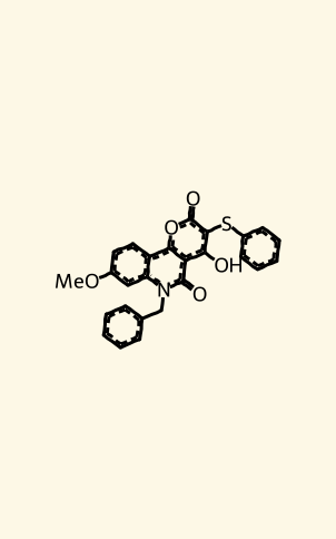 COc1ccc2c3oc(=O)c(Sc4ccccc4)c(O)c3c(=O)n(Cc3ccccc3)c2c1